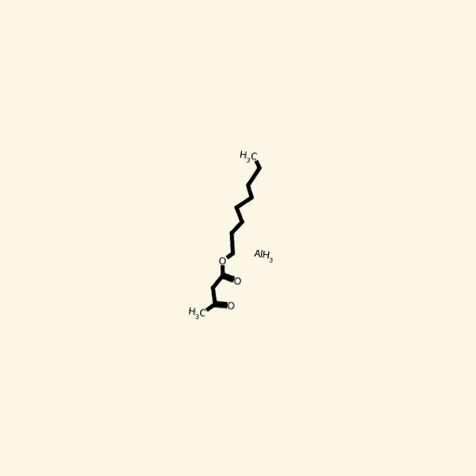 CCCCCCCCOC(=O)CC(C)=O.[AlH3]